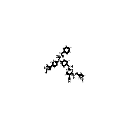 Cn1cc(-c2ccc(N(C(=O)NCc3ccccc3)C3CCC(Nc4ncc(C#N)c(NCc5ccn(C)n5)n4)CC3)nc2)cn1